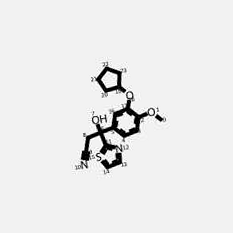 COc1ccc(C(O)(CC#N)c2nccs2)cc1OC1CCCC1